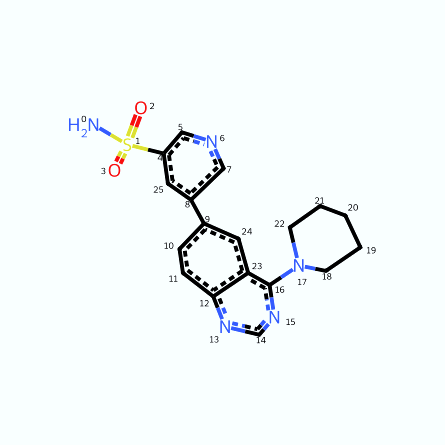 NS(=O)(=O)c1cncc(-c2ccc3ncnc(N4CCCCC4)c3c2)c1